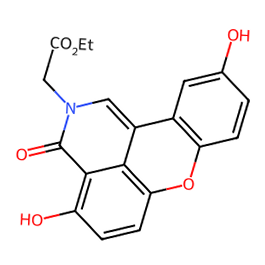 CCOC(=O)Cn1cc2c3c(ccc(O)c3c1=O)Oc1ccc(O)cc1-2